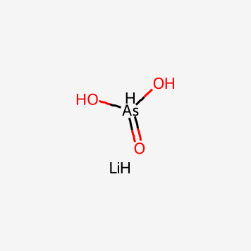 O=[AsH](O)O.[LiH]